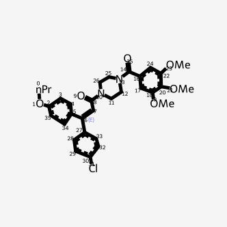 CCCOc1ccc(/C(=C\C(=O)N2CCN(C(=O)c3cc(OC)c(OC)c(OC)c3)CC2)c2ccc(Cl)cc2)cc1